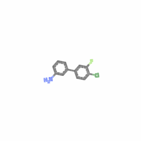 Nc1cccc(-c2ccc(Cl)c(F)c2)c1